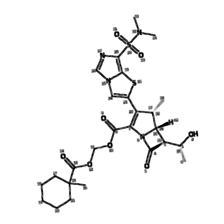 C[C@@H](O)[C@H]1C(=O)N2C(C(=O)OCOC(=O)C3(C)CCCCC3)=C(c3cn4cnc(S(=O)(=O)N(C)C)c4s3)[C@H](C)[C@H]12